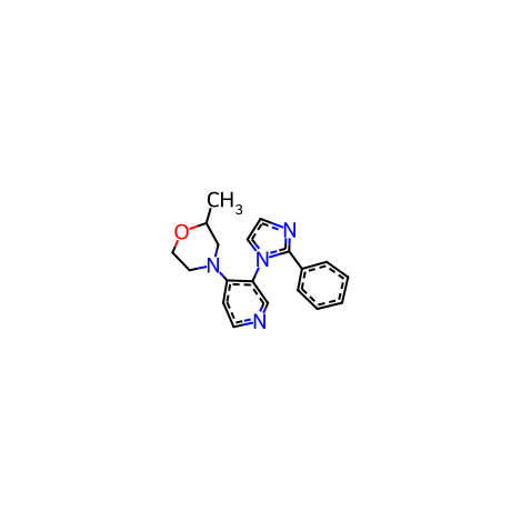 CC1CN(c2ccncc2-n2ccnc2-c2ccccc2)CCO1